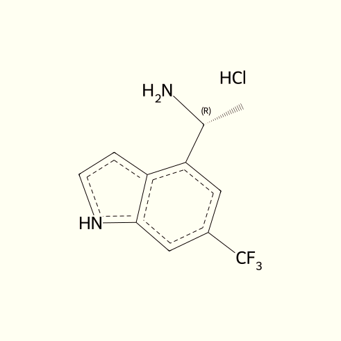 C[C@@H](N)c1cc(C(F)(F)F)cc2[nH]ccc12.Cl